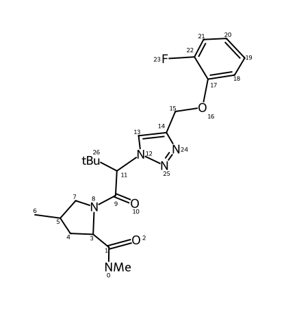 CNC(=O)C1CC(C)CN1C(=O)C(n1cc(COc2ccccc2F)nn1)C(C)(C)C